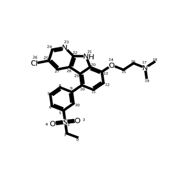 CCS(=O)(=O)c1cccc(-c2ccc(OCCN(C)C)c3[nH]c4ncc(Cl)cc4c23)c1